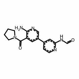 Nc1ncc(-c2ccnc(NC=O)c2)cc1C(=O)N1CCCC1